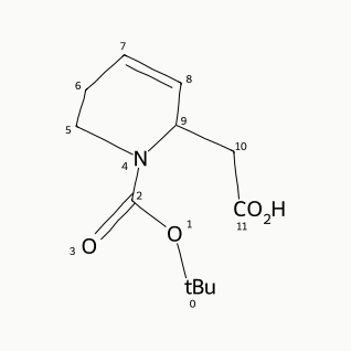 CC(C)(C)OC(=O)N1CCC=CC1CC(=O)O